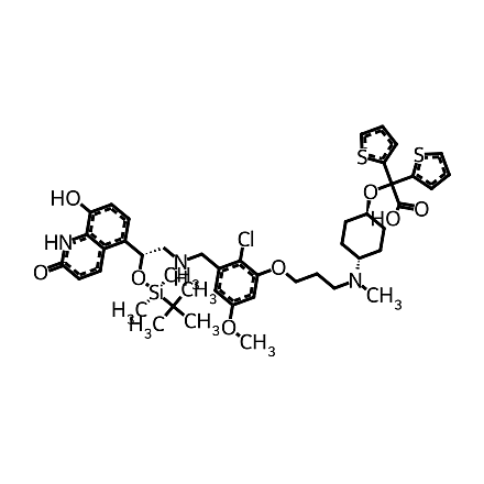 COc1cc(CNC[C@H](O[Si](C)(C)C(C)(C)C)c2ccc(O)c3[nH]c(=O)ccc23)c(Cl)c(OCCCN(C)[C@H]2CC[C@H](OC(C(=O)O)(c3cccs3)c3cccs3)CC2)c1